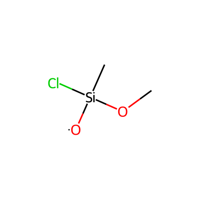 CO[Si](C)([O])Cl